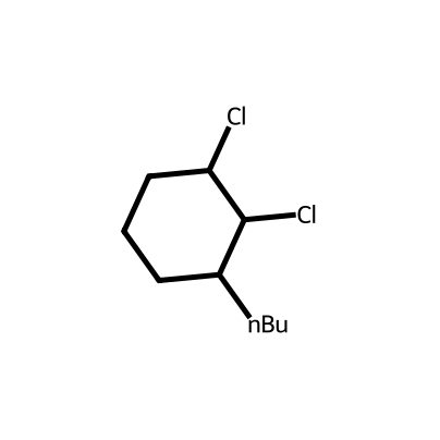 CCCCC1CCCC(Cl)C1Cl